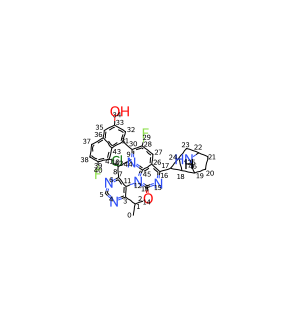 CC(C)c1ncnc(C(C)C)c1-n1c(=O)nc(C2C3C4CCC(C[C@H]23)N4)c2cc(F)c(-c3cc(O)cc4ccc(F)c(Cl)c34)nc21